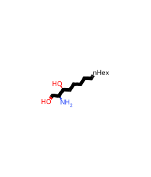 CCCCCCCCCCC[C@@H](O)[C@@H](N)CO